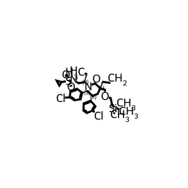 C=CC[C@@]1(COCC[Si](C)(C)C)C[C@H](c2cccc(Cl)c2)[C@@H](c2ccc(Cl)cc2)N([C@H](CC)CNS(=O)(=O)C2CC2)C1=O